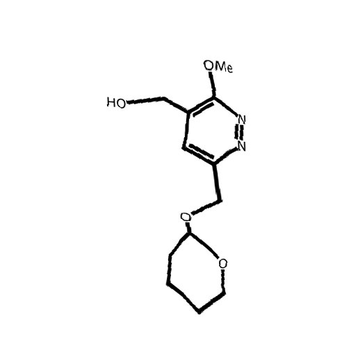 COc1nnc(COC2CCCCO2)cc1CO